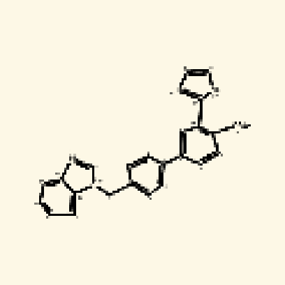 COc1ccc(-c2ccc(Cn3cnc4ccccc43)cc2)cc1-c1ncc[nH]1